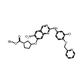 CC(C)(C)OC(=O)N1CCC(Oc2cc3nc(Nc4ccc(OCc5ccccn5)c(Cl)c4)ncc3cc2[N+](=O)[O-])C1